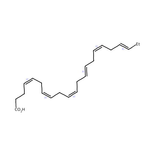 CC/C=C/C/C=C\C/C=C/C/C=C\C/C=C\C/C=C\CCC(=O)O